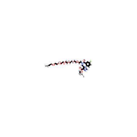 C#CCOCCOCCOCCOCCOCCOCCN1Cc2c(C(=O)OCC)ncn2-c2ccc(F)cc2C1=O